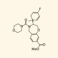 COC(=O)c1ccc2c(c1)OC[C@H](C1(C)C=CC(F)=CC1)N(C(=O)N1CCOCC1)C2